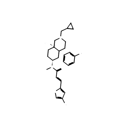 CO[C@]12CC[C@H](N(C)C(=O)/C=C/c3cc(Br)cs3)C[C@]1(c1cccc(O)c1)CCN(CC1CC1)C2